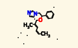 C/C=C\C=C(/C)COC(Cn1ccnc1)c1ccccc1